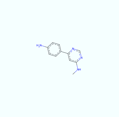 CNc1cc(-c2ccc(N)cc2)ncn1